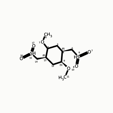 COC1C[C@@H](C[SH](=O)=O)[C@@H](OC)C[C@H]1C[SH](=O)=O